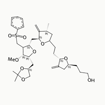 C=C1C[C@H](CCCO)O[C@H]1CCC1C[C@@H](C)C(=C)[C@H](C[C@@H]2O[C@H](C[C@H]3COC(C)(C)O3)[C@H](OC)C2CS(=O)(=O)c2ccccc2)O1